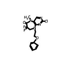 CN1C(=O)C(F)(F)CN(CCOc2ccccc2)c2nc(Cl)ncc21